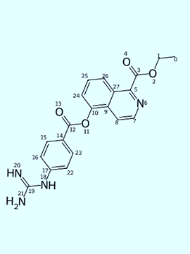 CCOC(=O)c1nccc2c(OC(=O)c3ccc(NC(=N)N)cc3)cccc12